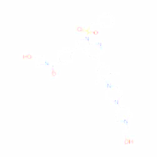 Cc1cc(-c2cnc3c(c2)c(-c2ccc(C(=O)N4CC(O)C4)cc2)cn3S(=O)(=O)Cc2ccccc2)cc(C)c1N1CCN(C2CCN(CCO)CC2)CC1